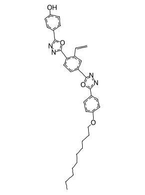 C=Cc1cc(-c2nnc(-c3ccc(OCCCCCCCCCC)cc3)o2)ccc1-c1nnc(-c2ccc(O)cc2)o1